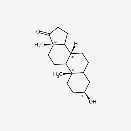 C[C@]12CC[C@H](O)CC1CC[C@@H]1C2CC[C@]2(C)C(=O)CCC12